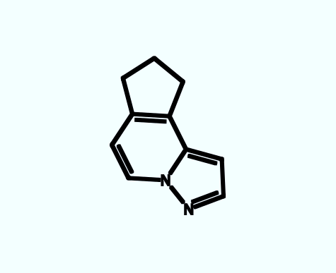 c1cc2c3c(ccn2n1)CCC3